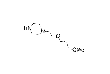 COCCCOCCN1CCNCC1